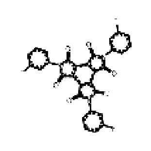 O=c1c2c3c(=O)n(-c4cccc(F)c4)c(=O)c3c3c(=O)n(-c4cccc(F)c4)c(=O)c3c2c(=O)n1-c1cccc(F)c1